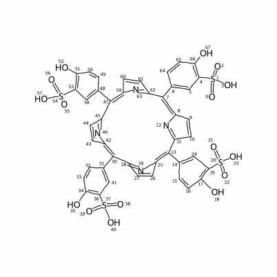 O=S(=O)(O)c1cc(C2=C3C=CC(=N3)C(c3ccc(O)c(S(=O)(=O)O)c3)=C3C=CC(=N3)C(c3ccc(O)c(S(=O)(=O)O)c3)=C3C=CC(=N3)C(c3ccc(O)c(S(=O)(=O)O)c3)=C3C=CC2=N3)ccc1O